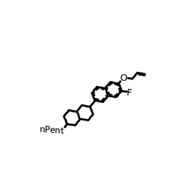 C=CCOc1cc2ccc(C3CCC4CC(CCCCC)CCC4C3)cc2cc1F